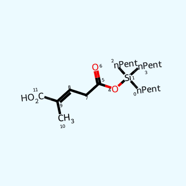 CCCCC[Si](CCCCC)(CCCCC)OC(=O)CC=C(C)C(=O)O